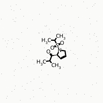 CC(C)C(=O)[C@@H]1C=CCN1S(=O)(=O)C(C)C